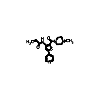 C=CC(=O)Nc1cc(-c2ccncc2)sc1C(=O)N1CCN(C)CC1